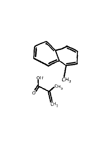 C=C(C)C(=O)O.Cc1cccc2ccccc12